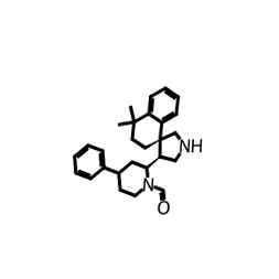 CC1(C)CC[C@]2(CNC[C@H]2C2CC(c3ccccc3)CCN2C=O)c2ccccc21